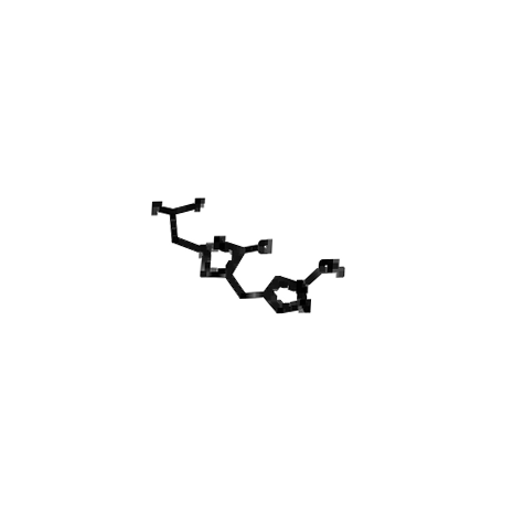 Cn1cc(Cc2cn(CC(F)F)nc2Cl)cn1